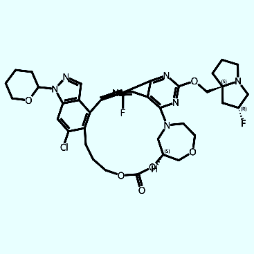 O=C1OCCCc2c(Cl)cc3c(cnn3C3CCCCO3)c2-c2ncc3c(nc(OC[C@@]45CCCN4C[C@H](F)C5)nc3c2F)N2CCOC[C@H](C2)O1